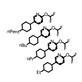 CCC1CCC(c2ccc(OC(F)F)nc2)CC1.CCCC1CCC(c2ccc(OC(F)F)nc2)CC1.CCCCC1CCC(c2ccc(OC(F)F)nc2)CC1.CCCCCC1CCC(c2ccc(OC(F)F)nc2)CC1